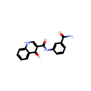 NC(=O)c1cccc(NC(=O)c2c[nH]c3ccccc3c2=O)c1